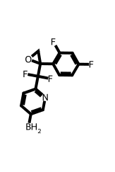 Bc1ccc(C(F)(F)C2(c3ccc(F)cc3F)CO2)nc1